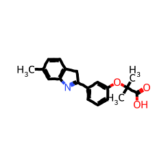 Cc1ccc2c(c1)N=C(c1cccc(OC(C)(C)C(=O)O)c1)C2